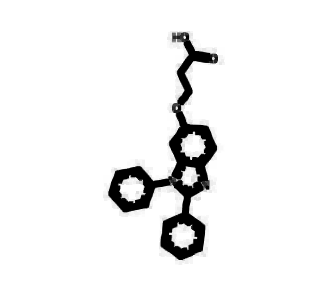 O=C(O)CCOc1ccc2nc(-c3ccccc3)n(-c3ccccc3)c2c1